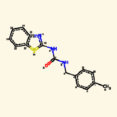 Cc1ccc(CNC(=O)Nc2nc3ccccc3s2)cc1